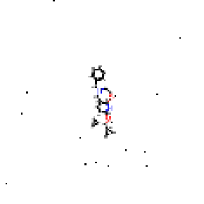 c1ccc(CN2CCOc3nc(OC(C4CC4)C4CC4)ccc3C2)cc1